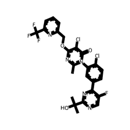 Cc1nc(OCc2cccc(C(F)(F)F)n2)c(Cl)c(=O)n1-c1cc(-c2nc(C(C)(C)O)ncc2F)ccc1Cl